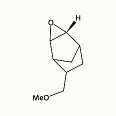 COCC1CC2CC1C1O[C@H]21